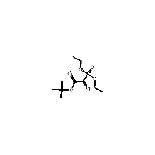 CCOP(=O)(OCC)C(=N)C(=O)OC(C)(C)C